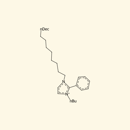 CCCCCCCCCCCCCCCCCCn1cc[n+](CCCC)c1-c1ccccc1